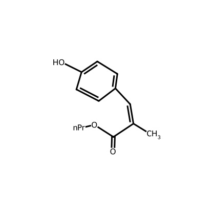 CCCOC(=O)C(C)=Cc1ccc(O)cc1